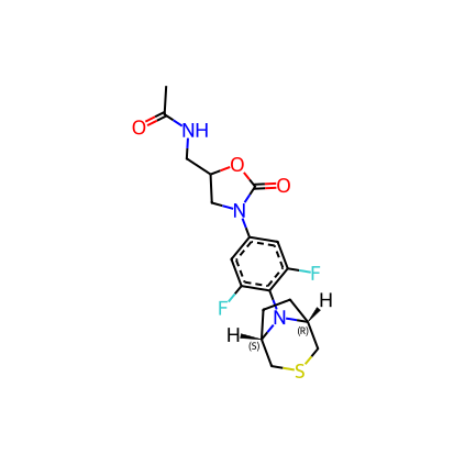 CC(=O)NCC1CN(c2cc(F)c(N3[C@@H]4CC[C@H]3CSC4)c(F)c2)C(=O)O1